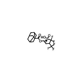 O=C(OCCC(C(F)(F)F)C(F)(F)S(=O)(=O)O)C12CC3CC(CC(C3)C1)C2